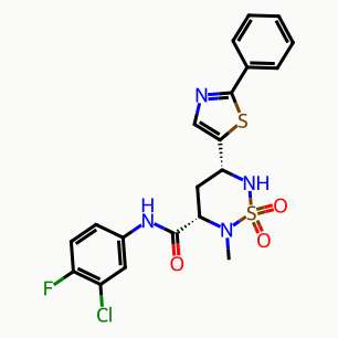 CN1[C@H](C(=O)Nc2ccc(F)c(Cl)c2)C[C@H](c2cnc(-c3ccccc3)s2)NS1(=O)=O